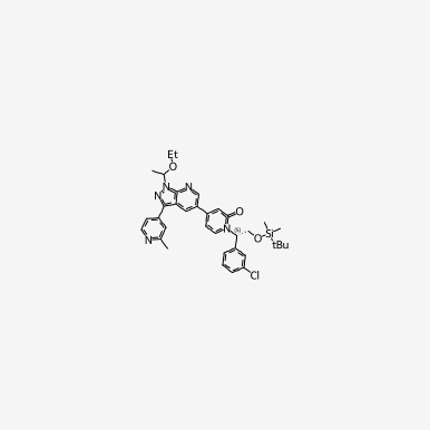 CCOC(C)n1nc(-c2ccnc(C)c2)c2cc(-c3ccn([C@H](CO[Si](C)(C)C(C)(C)C)c4cccc(Cl)c4)c(=O)c3)cnc21